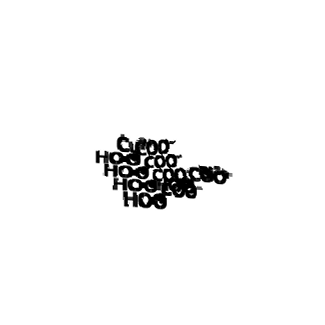 O=C([O-])OO.O=C([O-])OO.O=C([O-])OO.O=C([O-])OO.O=C([O-])OO.[Bi+3].[Cu+2]